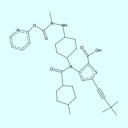 CC1CCC(C(=O)N(c2cc(C#CC(C)(C)C)sc2C(=O)O)C2CCC(NN(C)C(=O)Oc3ccccn3)CC2)CC1